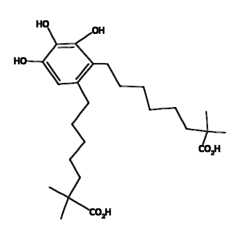 CC(C)(CCCCCCc1c(CCCCCC(C)(C)C(=O)O)cc(O)c(O)c1O)C(=O)O